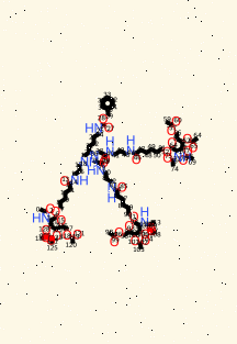 CC(=O)NC1C(OCCCCCC(=O)NCCCNCC(CCCCNC(=O)OCc2ccccc2)N(CC(=O)NCCCNC(=O)CCCCCOC2OC(COC(C)=O)C(OC(C)=O)C(OC(C)=O)C2NC(C)=O)CC(=O)NCCCNC(=O)CCCCCOC2OC(COC(C)=O)C(OC(C)=O)C(OC(C)=O)C2NC(C)=O)OC(COC(C)=O)C(OC(C)=O)C1OC(C)=O